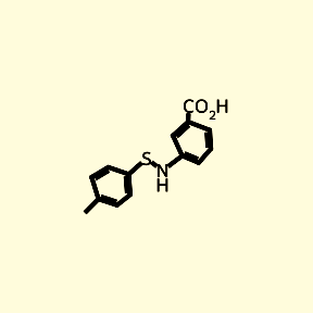 Cc1ccc(SNc2cccc(C(=O)O)c2)cc1